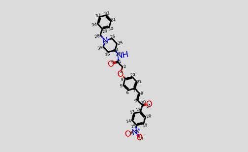 O=C(COc1ccc(/C=C/C(=O)c2ccc([N+](=O)[O-])cc2)cc1)NC1CCN(Cc2ccccc2)CC1